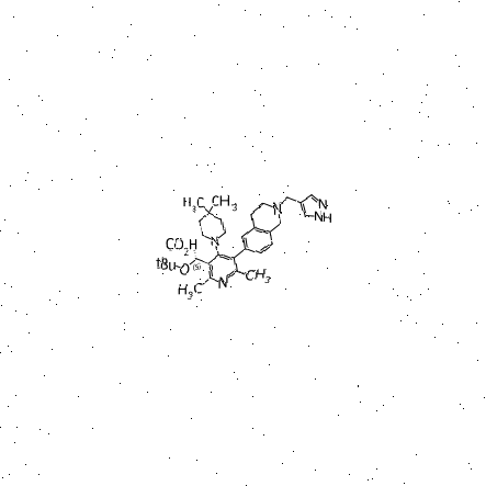 Cc1nc(C)c([C@H](OC(C)(C)C)C(=O)O)c(N2CCC(C)(C)CC2)c1-c1ccc2c(c1)CCN(Cc1cn[nH]c1)C2